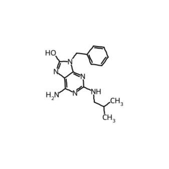 CC(C)CNc1nc(N)c2nc(O)n(Cc3ccccc3)c2n1